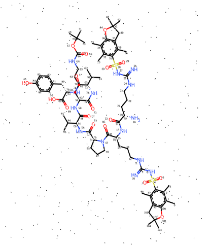 Cc1c(C)c(S(=O)(=O)NC(=N)NCCC[C@H](NC(=O)[C@@H](N)CCCNC(=N)NS(=O)(=O)c2c(C)c(C)c3c(c2C)CC(C)(C)O3)C(=O)N2CCC[C@H]2C(=O)N[C@H](C(=O)N[C@@H](CCCCNC(=O)OC(C)(C)C)C(=O)N[C@H](C(=O)N[C@@H](Cc2ccc(O)cc2)C(=O)O)C(C)C)C(C)C)c(C)c2c1OC(C)(C)C2